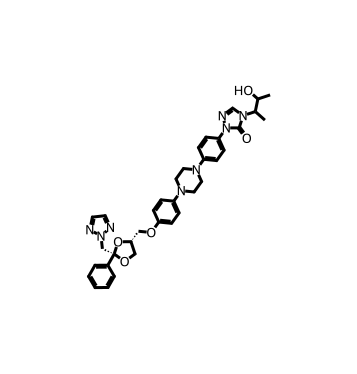 CC(O)C(C)n1cnn(-c2ccc(N3CCN(c4ccc(OC[C@@H]5CO[C@@](Cn6nccn6)(c6ccccc6)O5)cc4)CC3)cc2)c1=O